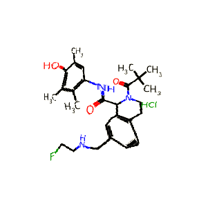 Cc1cc(NC(=O)C2c3cc(CNCCF)ccc3CCN2C(=O)C(C)(C)C)c(C)c(C)c1O.Cl